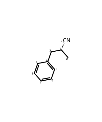 C[C@@H](C#N)Cc1ccccc1